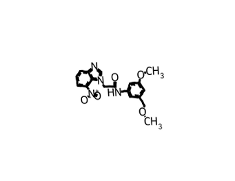 COCc1cc(NC(=O)Cn2cnc3cccc([N+](=O)[O-])c32)cc(OC)c1